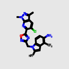 CCCc1cc2c(C(F)(F)F)c(N)ccc2n1Cc1noc(-c2nc3c(cc2Cl)c(C)nn3C)n1